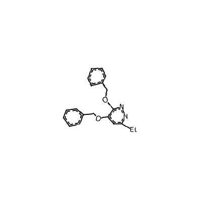 CCc1cc(OCc2ccccc2)c(OCc2ccccc2)nn1